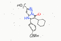 COc1ccc(-c2[nH]c3cc(C(=O)O)nn3c(=O)c2C2CCCCC2)cc1